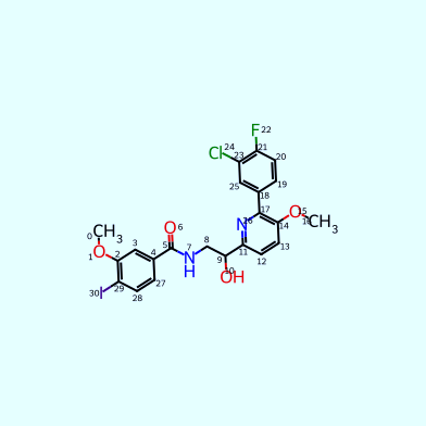 COc1cc(C(=O)NCC(O)c2ccc(OC)c(-c3ccc(F)c(Cl)c3)n2)ccc1I